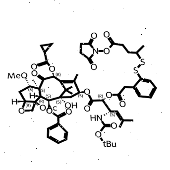 CO[C@H]1C[C@H]2OC[C@@]2(OC(C)=O)[C@H]2[C@H](OC(=O)c3ccccc3)[C@]3(O)C[C@H](OC(=O)[C@H](OC(=O)Cc4ccccc4SSC(C)CCC(=O)ON4C(=O)CCC4=O)[C@H](C=C(C)C)NC(=O)OC(C)(C)C)C(C)=C([C@@H](OC(=O)C4CC4)C(=O)[C@]12C)C3(C)C